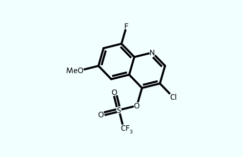 COc1cc(F)c2ncc(Cl)c(OS(=O)(=O)C(F)(F)F)c2c1